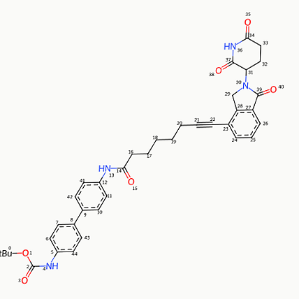 CC(C)(C)OC(=O)Nc1ccc(-c2ccc(NC(=O)CCCCCC#Cc3cccc4c3CN(C3CCC(=O)NC3=O)C4=O)cc2)cc1